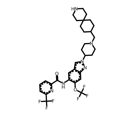 O=C(Nc1cc2cn(C3CCN(CC4CCC5(CCNCC5)CC4)CC3)nc2cc1OC(F)(F)F)c1cccc(C(F)(F)F)n1